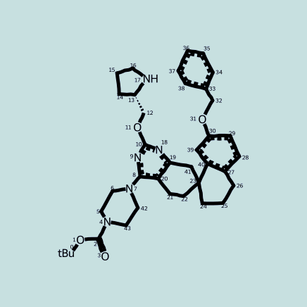 CC(C)(C)OC(=O)N1CCN(c2nc(OC[C@@H]3CCCN3)nc3c2CCC2(CCCc4ccc(OCc5ccccc5)cc42)C3)CC1